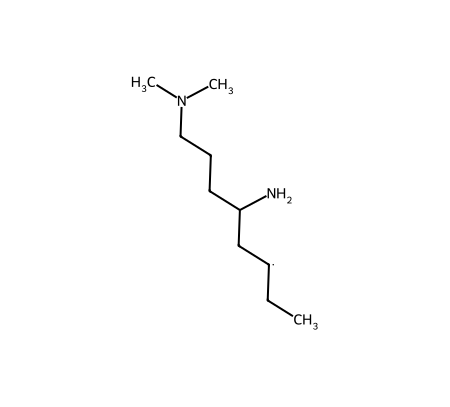 CC[CH]CC(N)CCCN(C)C